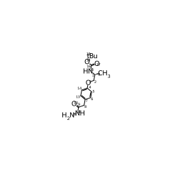 C[C@@H](COc1ccc(CC(=O)NN)cc1)NC(=O)OC(C)(C)C